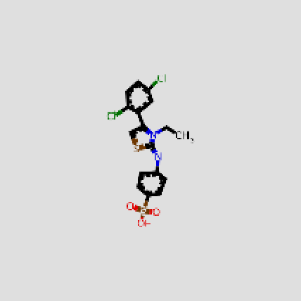 CCn1c(-c2cc(Cl)ccc2Cl)csc1=Nc1ccc(S(=O)(=O)O)cc1